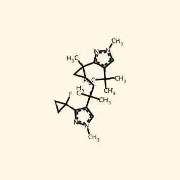 Cn1cc(C(C)(C)CC2CC2(C)c2nn(C)cc2C(C)(C)C)c(C2(F)CC2)n1